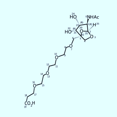 CC(=O)N[C@H]1[C@H]2OC[C@](COCCOCCOCCOCCC(=O)O)(O2)[C@H](O)[C@@H]1O